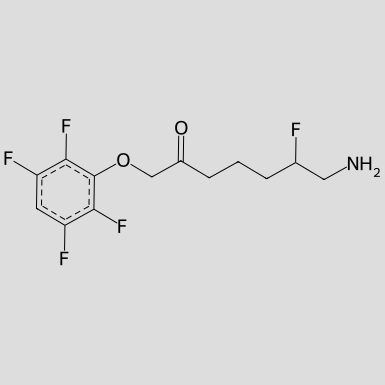 NCC(F)CCCC(=O)COc1c(F)c(F)cc(F)c1F